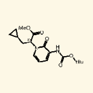 COC(=O)[C@H](CC1CC1)n1cccc(NC(=O)OC(C)(C)C)c1=O